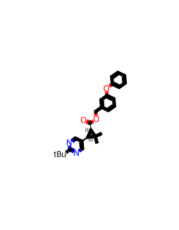 CC(C)(C)c1ncc([C@H]2[C@H](C(=O)OCc3cccc(Oc4ccccc4)c3)C2(C)C)cn1